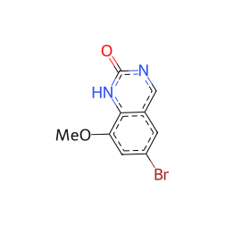 COc1cc(Br)cc2cnc(=O)[nH]c12